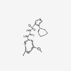 COc1cc(C)nc(NC(=O)NS(=O)(=O)c2ccsc2C2=CCCCC2)n1